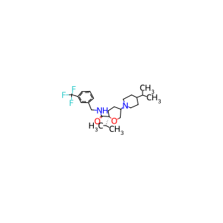 CC(C)C1CCN([C@@H]2CC[C@@](C(=O)NCc3cccc(C(F)(F)F)c3)(C(C)C)OC2)CC1